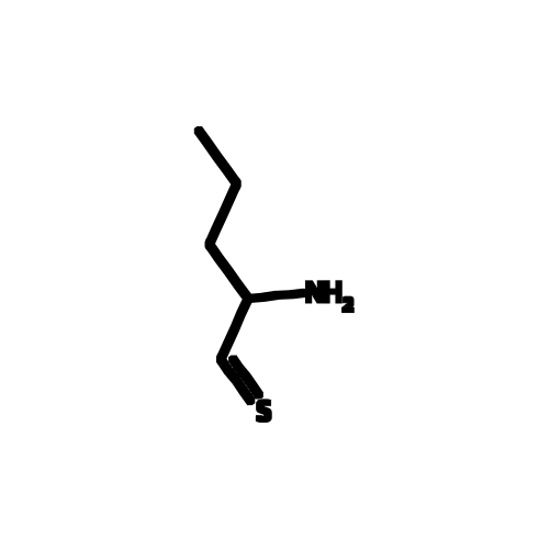 CCCC(N)C=S